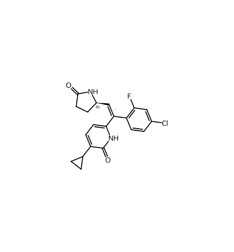 O=C1CC[C@H](/C=C(\c2ccc(C3CC3)c(=O)[nH]2)c2ccc(Cl)cc2F)N1